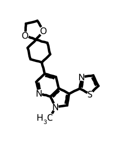 Cn1cc(-c2nccs2)c2cc(C3CCC4(CC3)OCCO4)cnc21